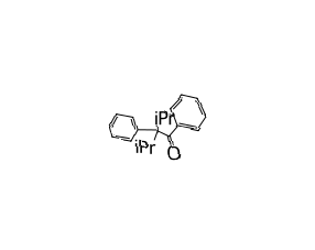 CC(C)C(C(=O)c1ccccc1)(c1ccccc1)C(C)C